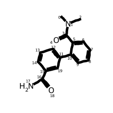 CN(C)C(=O)c1ccccc1-c1cccc(C(N)=O)c1